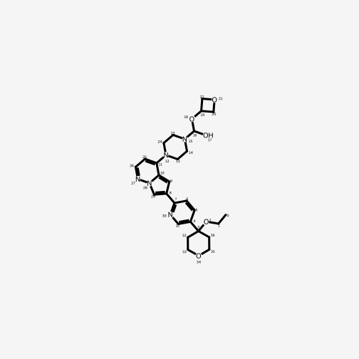 CCOC1(c2ccc(-c3cc4c(N5CCN(C(O)OC6COC6)CC5)ccnn4c3)nc2)CCOCC1